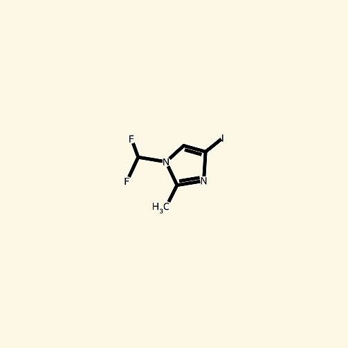 Cc1nc(I)cn1C(F)F